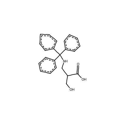 O=C(O)C(CO)CNC(c1ccccc1)(c1ccccc1)c1ccccc1